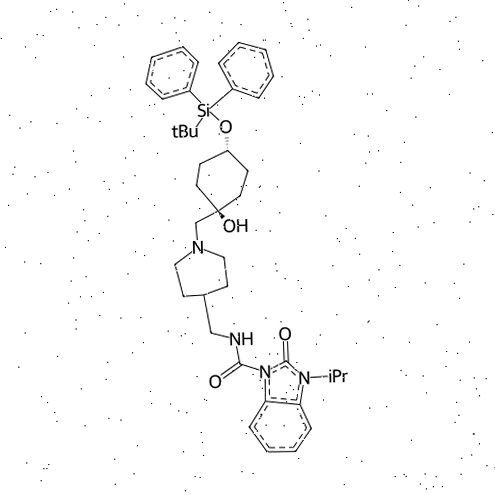 CC(C)n1c(=O)n(C(=O)NCC2CCN(C[C@]3(O)CC[C@H](O[Si](c4ccccc4)(c4ccccc4)C(C)(C)C)CC3)CC2)c2ccccc21